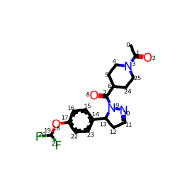 CC(=O)N1CCC(C(=O)N2N=CCC2c2ccc(OC(F)F)cc2)CC1